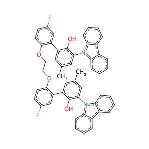 Cc1cc(-c2cc(F)ccc2OCCOc2ccc(F)cc2-c2cc(C)cc(-n3c4ccccc4c4ccccc43)c2O)c(O)c(-n2c3ccccc3c3ccccc32)c1